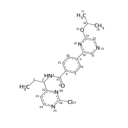 CCC(NC(=O)c1ccc(-c2cncc(OC(C)C)n2)cc1)c1ccnc(Cl)n1